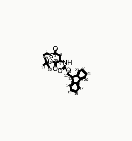 CCSC(=O)CC(NC(=O)OCC1c2ccccc2-c2ccccc21)C(=O)OC(C)(C)C